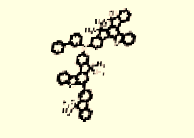 CC1(C)c2ccccc2-c2ccc(-c3cc4c(c5c3oc3ccccc35)-c3ccc(N(c5cccc(-c6ccccc6)c5)c5ccc6c(c5)C(C)(C)c5c7c(c8c(oc9ccccc98)c5-6)-c5ccccc5C7(C)C)cc3C4(C)C)cc21